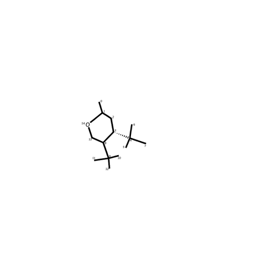 CC1C[C@H](C(C)(C)C)C(C(C)(C)C)CO1